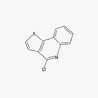 Clc1nc2ccccc2c2sccc12